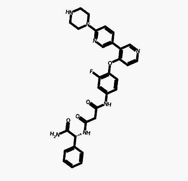 NC(=O)[C@H](NC(=O)CC(=O)Nc1ccc(Oc2ccncc2-c2ccc(N3CCNCC3)nc2)c(F)c1)c1ccccc1